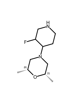 C[C@@H]1CN(C2CCNCC2F)C[C@H](C)O1